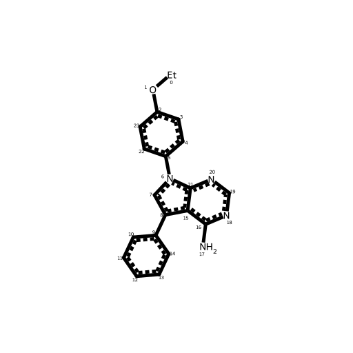 CCOc1ccc(-n2cc(-c3ccccc3)c3c(N)ncnc32)cc1